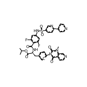 CC(C)OC(=O)[C@H](Cc1ccc(-n2c(=O)c3ccncc3n(C)c2=O)cc1)NC(=O)c1c(F)cc(NS(=O)(=O)c2ccc(-c3ccncc3)nc2)cc1F